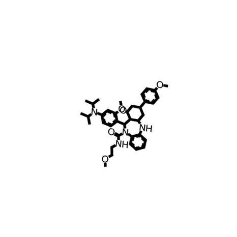 COCCNC(=O)N1c2ccccc2NC2CC(c3ccc(OC)cc3)CC(=O)C2C1c1ccc(N(C(C)C)C(C)C)cc1OC